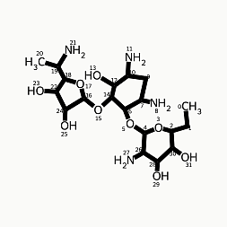 CCC1OC(OC2C(N)CC(N)C(O)C2OC2OC(C(C)N)C(O)C2O)C(N)C(O)C1O